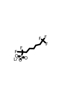 O=S(=O)([O-])C(F)(F)CCCCCC(F)(F)F.[Li+]